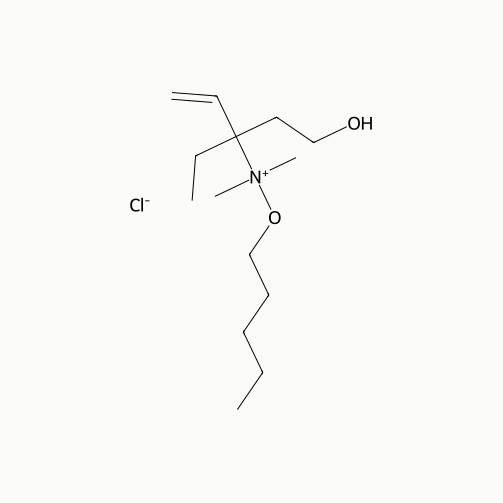 C=CC(CC)(CCO)[N+](C)(C)OCCCCC.[Cl-]